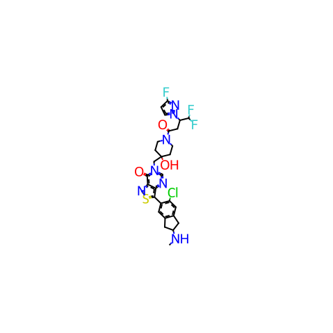 CNC1Cc2cc(Cl)c(-c3snc4c(=O)n(CC5(O)CCN(C(=O)CC(C(F)F)n6ccc(F)n6)CC5)cnc34)cc2C1